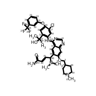 CN1CCC(COc2cc3ncnc(Nc4cc(Cl)c(Oc5cccc(C(F)(F)F)c5)cc4C(C)(C)O)c3cc2C(C=CC(N)=O)N(C)C)CC1